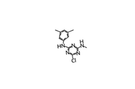 CNc1nc(Cl)nc(Nc2cc(C)cc(C)c2)n1